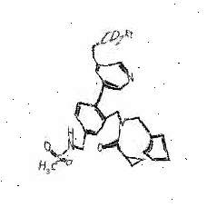 CCOC(=O)Cc1cncc(-c2ccc(CNS(C)(=O)=O)cc2CN(Cc2ccccc2)C(=O)C2CC2)c1